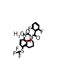 CN(C(=O)N(C(=O)c1c(F)cccc1F)C1CCCCC1)c1ccc(SC(F)(F)F)cc1F